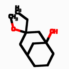 CCC1(OC)CC2CCCC(O)(C2)C1